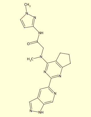 CN(CC(=O)Nc1ccn(C)n1)c1nc(-c2cc3cn[nH]c3cn2)nc2c1CCC2